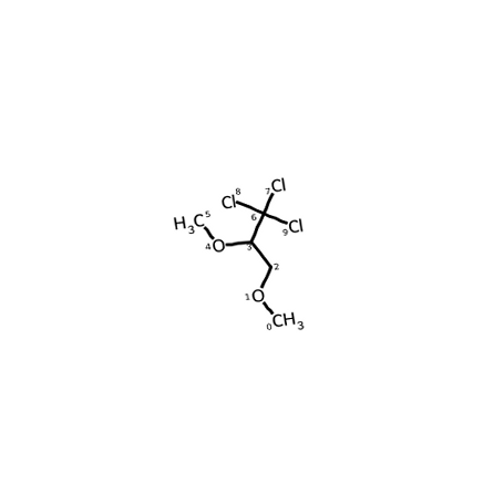 COCC(OC)C(Cl)(Cl)Cl